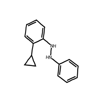 c1ccc(NNc2ccccc2C2CC2)cc1